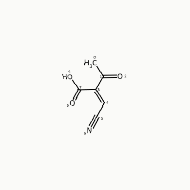 CC(=O)/C(=C/C#N)C(=O)O